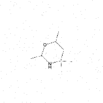 CC1CC(C)(C)NC(C)O1